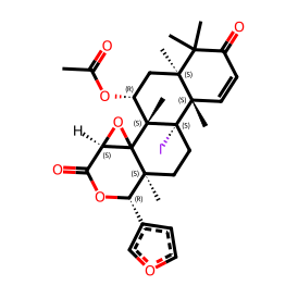 CC(=O)O[C@@H]1C[C@@]2(C)C(C)(C)C(=O)C=C[C@]2(C)[C@@]2(I)CC[C@@]3(C)[C@H](c4ccoc4)OC(=O)[C@H]4OC43[C@]12C